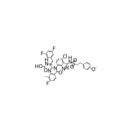 COc1ccc(CCS(=O)(=O)Nc2nn(C)c3c(-n4c([C@H](Cc5cc(F)cc(F)c5)NC(=O)O)nc5c(C)c(F)ccc5c4=O)ccc(Cl)c23)cc1